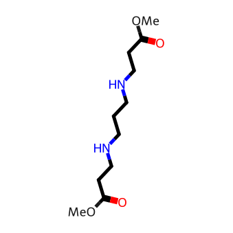 COC(=O)CCNCCCNCCC(=O)OC